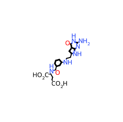 Nc1nc2[nH]c(CCNc3cccc(C(=O)N[C@@H](CCC(=O)O)C(=O)O)c3)cc2c(=O)[nH]1